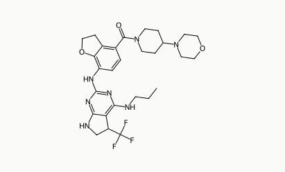 CCCNc1nc(Nc2ccc(C(=O)N3CCC(N4CCOCC4)CC3)c3c2OCC3)nc2c1C(C(F)(F)F)CN2